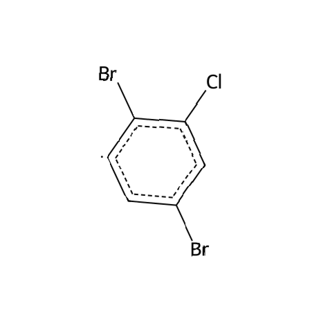 Clc1cc(Br)c[c]c1Br